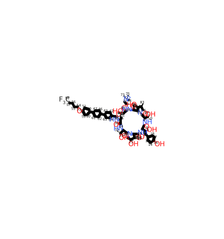 C[C@@H](O)[C@@H]1NC(=O)[C@H]([C@H](O)[C@@H](O)c2ccc(O)cc2)NC(=O)[C@@H]2C[C@@H](O)CN2C(=O)[C@H]([C@@H](C)O)NC(=O)[C@@H](NC(=O)c2ccc(-c3ccc(-c4ccc(OCCCCC(F)(F)F)cc4)cc3)cc2)C[C@@H](O)[C@@H](OCC[N+](C)(C)C)NC(=O)[C@@H]2[C@@H](O)[C@@H](C)CN2C1=O